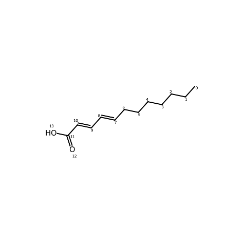 CCCCCCCC=CC=CC(=O)O